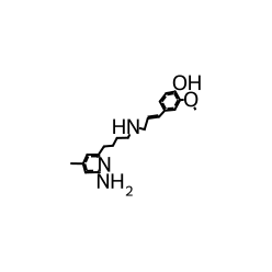 COc1cc(C=CCNCCCCc2cc(C)cc(N)n2)ccc1O